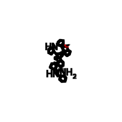 N[C@@H](c1ccc2c(c1)sc1c3cc(cc12)C1(c2ccccc2Nc2ccccc2-3)c2ccccc2-c2ccccc21)C1(c2ccccc2)NC1c1ccccc1